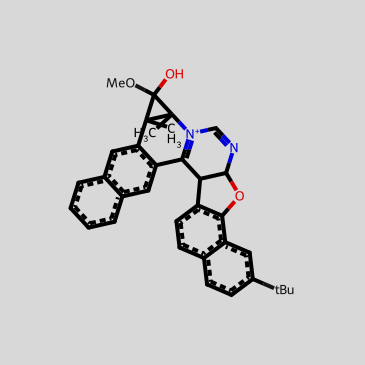 COC1(O)C2(C)c3cc4ccccc4cc3C3=[N+](C=NC4Oc5c(ccc6ccc(C(C)(C)C)cc56)C34)C12C